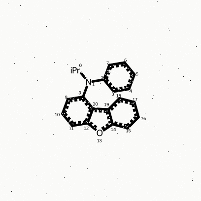 CC(C)N(c1ccccc1)c1cccc2oc3ccccc3c12